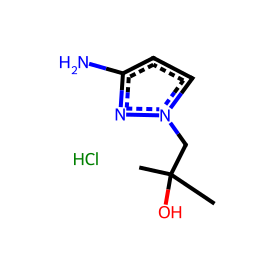 CC(C)(O)Cn1ccc(N)n1.Cl